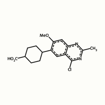 COc1cc2nc(C)nc(Cl)c2cc1C1CCC(C(=O)O)CC1